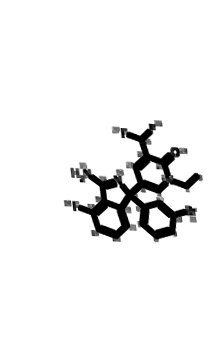 CCn1cc(C2(c3cccc(Br)c3)N=C(N)c3c(F)cccc32)cc(C(F)F)c1=O